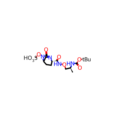 C[C@@H](CONC(=O)[C@@H]1CCC2CN1C(=O)N2OS(=O)(=O)O)NC(=O)OC(C)(C)C